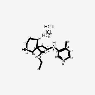 CCOC(=O)C1(CCNc2cnccc2C)CCCNC1.Cl.Cl.Cl